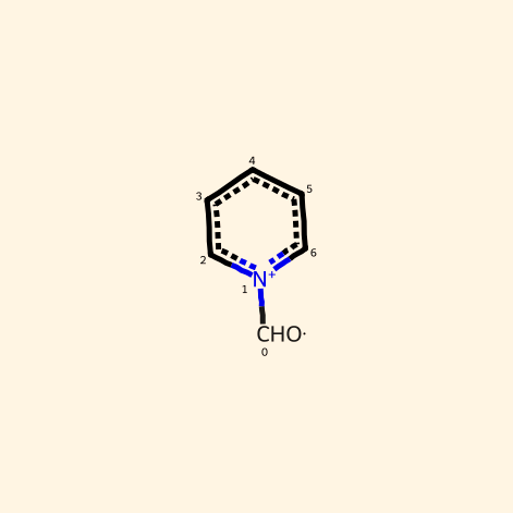 O=[C][n+]1ccccc1